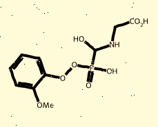 COc1ccccc1OOP(=O)(O)C(O)NCC(=O)O